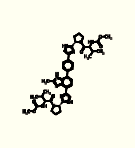 COC(=O)N[C@H](C(=O)N1CCC[C@H]1c1nc(-c2ccc(-c3ccc(-c4c[nH]c([C@@H]5CCCN5C(=O)[C@@H](NC(=O)OC)C(C)C)n4)c4nc(C)[nH]c34)cc2)c[nH]1)C(C)C